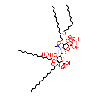 CCCCCCCCCCCCCC(=O)N(O)[C@@H]1[C@@H](OCC[C@H](O)CCCCCCCCCCC)[C@H](O)[C@@H](CO[C@@H]2O[C@H](CO)[C@@H](OP(=O)(O)O)[C@H](OCC[C@@H](CCCCCCCCCCC)OCCCCCCCCCCCC)[C@H]2NC(C)=O)O[C@@H]1C(=O)O